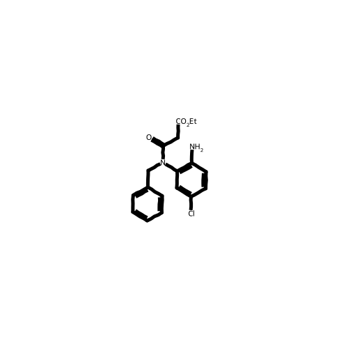 CCOC(=O)CC(=O)N(Cc1ccccc1)c1cc(Cl)ccc1N